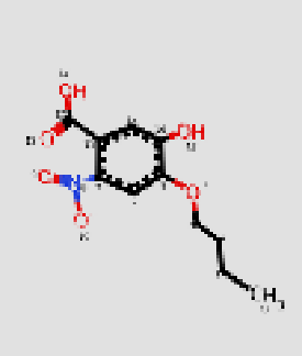 CCCCOc1cc([N+](=O)[O-])c(C(=O)O)cc1O